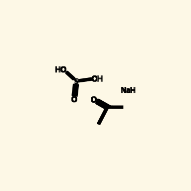 CC(C)=O.O=S(O)O.[NaH]